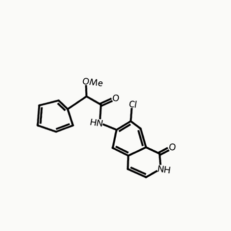 COC(C(=O)Nc1cc2cc[nH]c(=O)c2cc1Cl)c1ccccc1